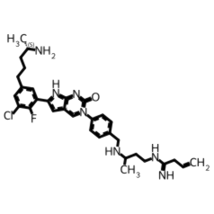 C=CCC(=N)NCCC(C)NCc1ccc(-n2cc3cc(-c4cc(CCC[C@H](C)N)cc(Cl)c4F)[nH]c3nc2=O)cc1